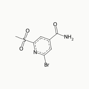 CS(=O)(=O)c1cc(C(N)=O)cc(Br)n1